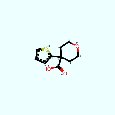 O=C(O)C1(c2cccs2)CCOCC1